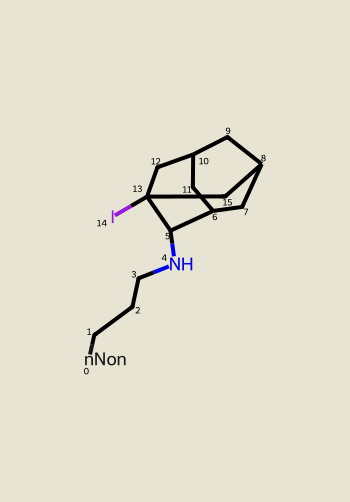 CCCCCCCCCCCCNC1C2CC3CC(C2)CC1(I)C3